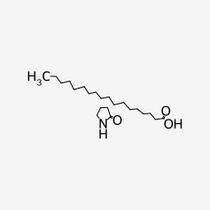 CCCCCCCCCCCCCCCCCC(=O)O.O=C1CCCN1